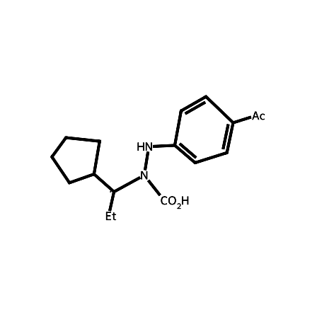 CC[C](C1CCCC1)N(Nc1ccc(C(C)=O)cc1)C(=O)O